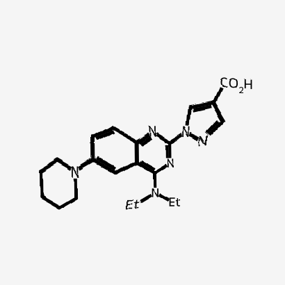 CCN(CC)c1nc(-n2cc(C(=O)O)cn2)nc2ccc(N3CCCCC3)cc12